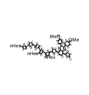 CCCCCCc1ccc(-c2ccc(-c3ccc(-c4sc(-c5sc(-c6ccc(-c7ccc(-c8ccc(C)s8)c8nc(-c9ccc(OC)cc9)c(-c9ccc(OC)cc9)nc78)s6)cc5CCCCCC)cc4CCCCCC)s3)s2)s1